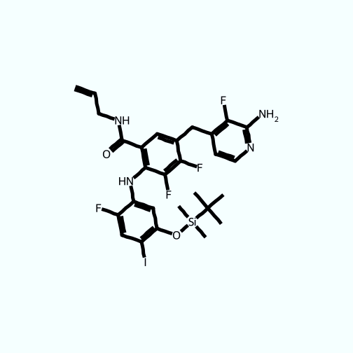 C=CCNC(=O)c1cc(Cc2ccnc(N)c2F)c(F)c(F)c1Nc1cc(O[Si](C)(C)C(C)(C)C)c(I)cc1F